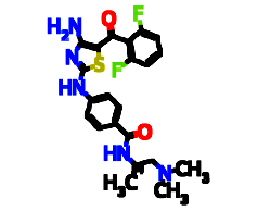 C[C@H](CN(C)C)NC(=O)c1ccc(Nc2nc(N)c(C(=O)c3c(F)cccc3F)s2)cc1